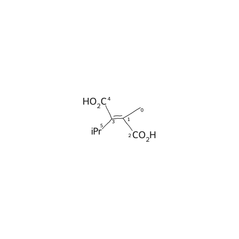 CC(C(=O)O)=C(C(=O)O)C(C)C